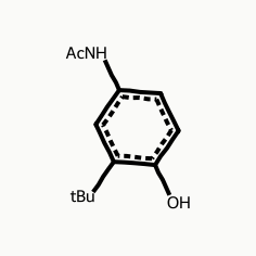 CC(=O)Nc1ccc(O)c(C(C)(C)C)c1